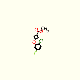 COC(=O)[C@H]1C[C@H](Oc2cc(F)ccc2Cl)C1